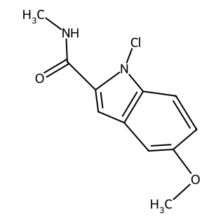 CNC(=O)c1cc2cc(OC)ccc2n1Cl